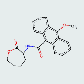 COc1c2ccccc2c(C(=O)NC2CCCCOC2=O)c2ccccc12